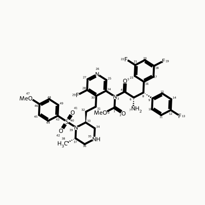 COC(=O)N(C(=O)[C@@H](N)[C@@H](c1ccc(F)cc1)c1cc(F)cc(F)c1)c1cncc(F)c1CC[C@H]1CNC[C@H](C)N1S(=O)(=O)c1ccc(OC)cc1